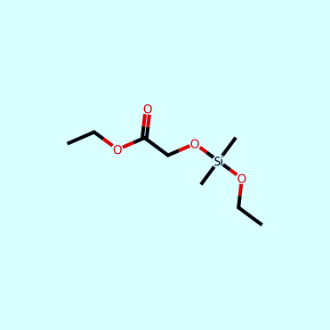 CCOC(=O)CO[Si](C)(C)OCC